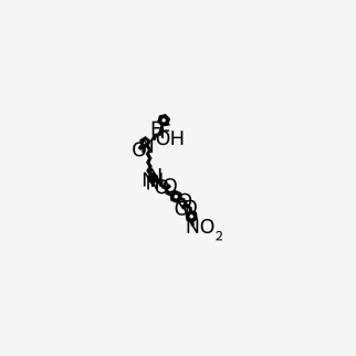 O=C(Cc1ccc(OC(=O)Oc2ccc([N+](=O)[O-])cc2)cc1)OCn1nnc(CCCCCCN2C(=O)CC[C@@H]2/C=C/[C@@H](O)C(F)(F)c2ccccc2)n1